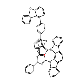 c1ccc(-c2nc(-c3ccccc3)nc(-n3c4ccccc4c4ccc5c6ccccc6n(-c6cccc7nc(-c8ccc(-c9cccc%10oc%11ccccc%11c9%10)cc8)oc67)c5c43)n2)cc1